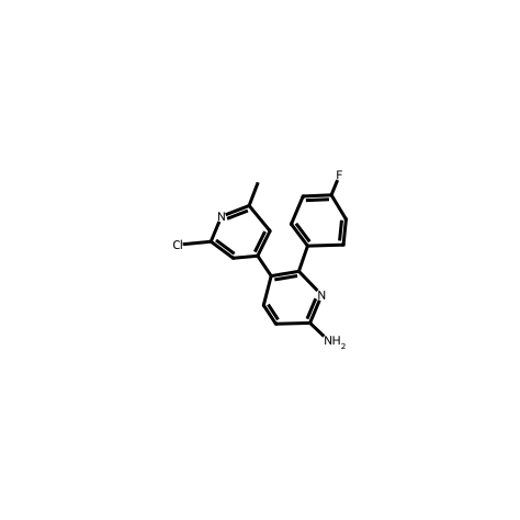 Cc1cc(-c2ccc(N)nc2-c2ccc(F)cc2)cc(Cl)n1